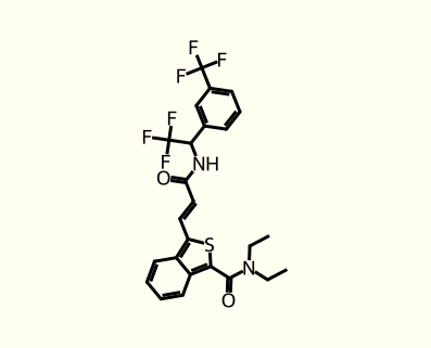 CCN(CC)C(=O)c1sc(/C=C/C(=O)NC(c2cccc(C(F)(F)F)c2)C(F)(F)F)c2ccccc12